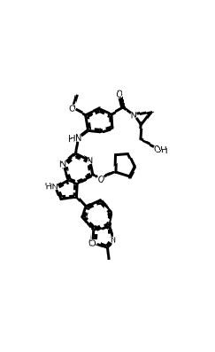 COc1cc(C(=O)N2CC2CO)ccc1Nc1nc(OC2CCCC2)c2c(-c3ccc4nc(C)oc4c3)c[nH]c2n1